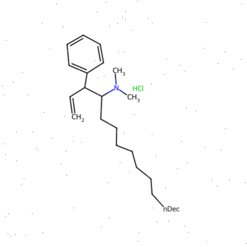 C=CC(c1ccccc1)C(CCCCCCCCCCCCCCCCC)N(C)C.Cl